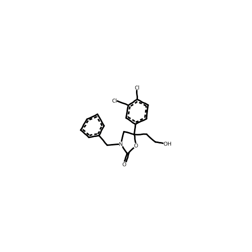 O=C1OC(CCO)(c2ccc(Cl)c(Cl)c2)CN1Cc1ccccc1